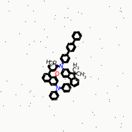 C=CC1=C(C(=C)N(c2ccc(-c3ccc(-c4ccccc4)cc3)cc2)c2ccc3c(c2)C(C)(C)c2ccccc2-3)Oc2cc(N(c3ccccc3)c3ccccc3)cc3cccc1c23